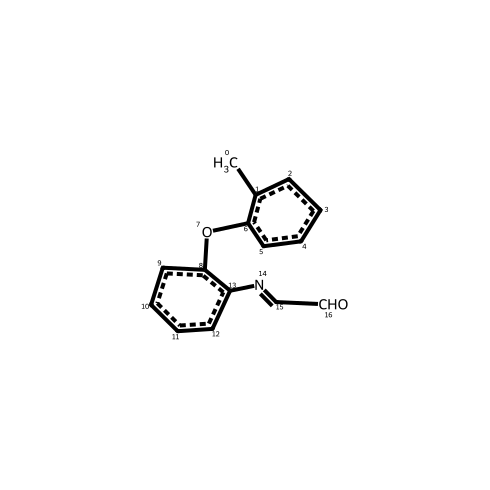 Cc1ccccc1Oc1ccccc1N=CC=O